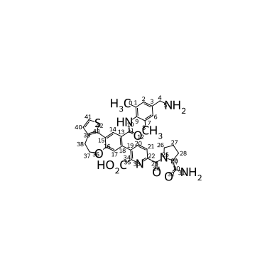 Cc1cc(CN)cc(C)c1NC(=O)c1cc2c(cc1-c1ccc(C(=O)N3CCC[C@H]3C(N)=O)nc1C(=O)O)OCCc1ccsc1-2